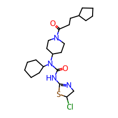 O=C(CCC1CCCC1)N1CCC(N(C(=O)NC2=NCC(Cl)S2)C2CCCCC2)CC1